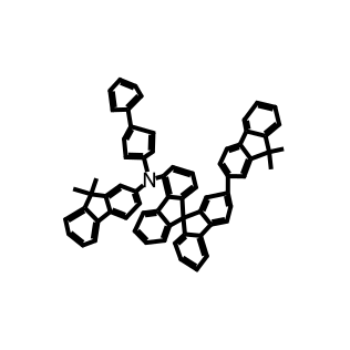 CC1(C)c2ccccc2-c2ccc(-c3ccc4c(c3)C3(c5ccccc5-4)c4ccccc4-c4c(N(c5ccc(-c6ccccc6)cc5)c5ccc6c(c5)C(C)(C)c5ccccc5-6)cccc43)cc21